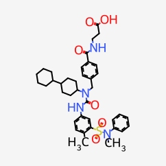 Cc1ccc(NC(=O)N(Cc2ccc(C(=O)NCCC(=O)O)cc2)C2CCC(C3CCCCC3)CC2)cc1S(=O)(=O)N(C)c1ccccc1